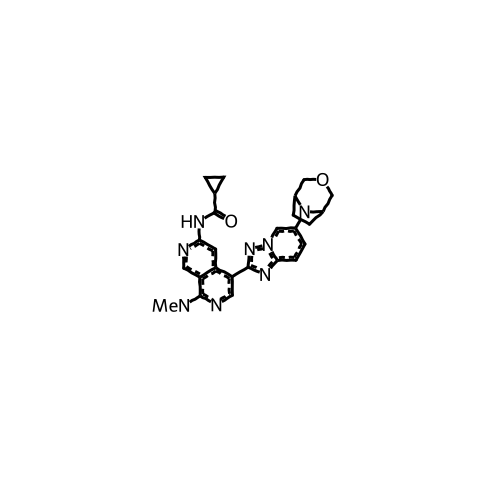 CNc1ncc(-c2nc3ccc(N4C5CCC4COC5)cn3n2)c2cc(NC(=O)C3CC3)ncc12